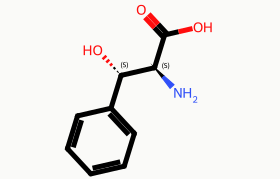 N[C@H](C(=O)O)[C@@H](O)c1ccccc1